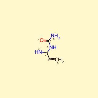 C=CC([NH])NC(N)=O